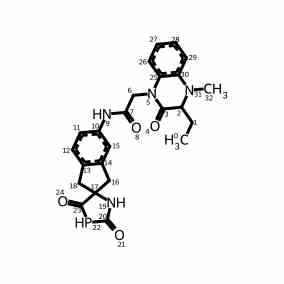 CCC1C(=O)N(CC(=O)Nc2ccc3c(c2)CC2(C3)NC(=O)PC2=O)c2ccccc2N1C